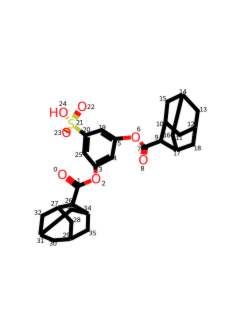 O=C(Oc1cc(OC(=O)C2C3CC4CC(C3)CC2C4)cc(S(=O)(=O)O)c1)C1C2CC3CC(C2)CC1C3